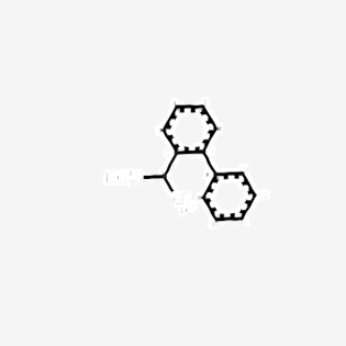 O=S(=O)(O)C(c1ccccc1-c1ccccc1)C(F)(F)F